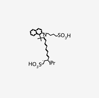 CC(C)C([CH]CS(=O)(=O)O)C=CC=CC=CC=C1N(CCCCS(=O)(=O)O)c2ccc3ccccc3c2C1(C)C